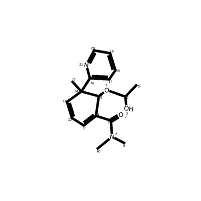 CC(O)OC1C(C(=O)N(C)C)=CC=CC1(C)c1ccccn1